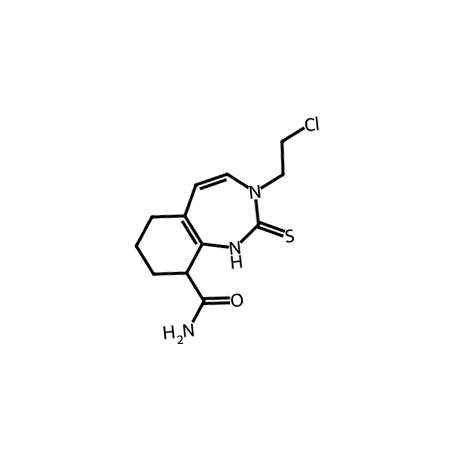 NC(=O)C1CCCC2=C1NC(=S)N(CCCl)C=C2